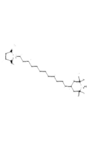 CC1(C)CC(CCCCCCCCCCCCN2C(=O)CCC2=O)CC(C)(C)N1O